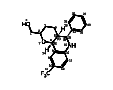 OCC1CC[C@@H]2[C@H](O1)c1cc(C(F)(F)F)ccc1N[C@H]2c1ccccc1